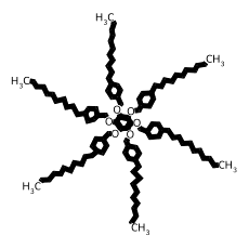 CCCCCCCCCCCC1CCC(COc2c(OCC3CCC(CCCCCCCCCCC)CC3)c(OCC3CCC(CCCCCCCCCCC)CC3)c(OCC3CCC(CCCCCCCCCCC)CC3)c(OCC3CCC(CCCCCCCCCCC)CC3)c2OCC2CCC(CCCCCCCCCCC)CC2)CC1